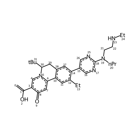 C=C(O)c1cn2c(cc1=O)-c1cc(CC)c(-c3cnc(N(CCC)CCNCC)nc3)cc1CC2C(C)(C)C